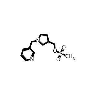 CS(=O)(=O)OCC1CCN(Cc2cccnc2)C1